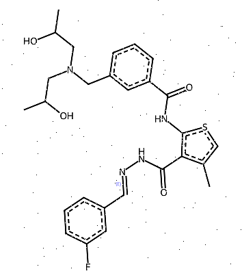 Cc1csc(NC(=O)c2cccc(CN(CC(C)O)CC(C)O)c2)c1C(=O)N/N=C/c1cccc(F)c1